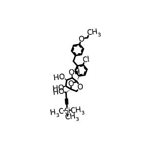 CCOc1ccc(Cc2cc([C@]34OC[C@](C(O)C#C[Si](C)(C)C)(O3)[C@@H](O)[C@H](O)[C@H]4O)ccc2Cl)cc1